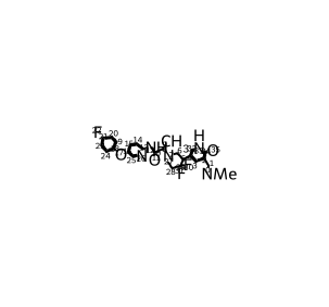 CNCc1cc(C2CN(C(C)C(=O)Nc3ccc(Oc4ccc(F)cc4)cn3)CCC2(F)F)c[nH]c1=O